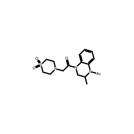 CC(=O)N1c2ccccc2N(C(=O)CN2CCS(=O)(=O)CC2)CC1C